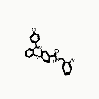 O=C(NCc1ccccc1Br)c1ccc2c(c1)N=C(c1ccc(Cl)cc1)c1ccccc1S2